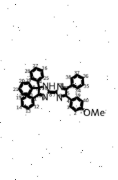 COc1ccc(C2=NC(=C3N=C(c4ccccc4)C(c4ccccc4)(c4ccccc4)N3)N=C2c2ccccc2)cc1